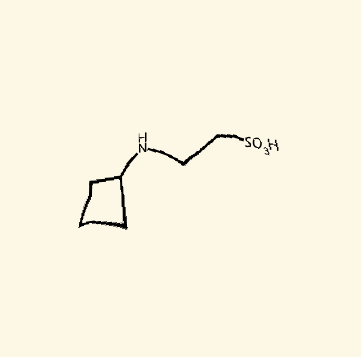 O=S(=O)(O)CCNC1CCC1